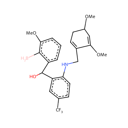 Bc1c(OC)cccc1C(O)c1cc(C(F)(F)F)ccc1NCC1=CCC(OC)C=C1OC